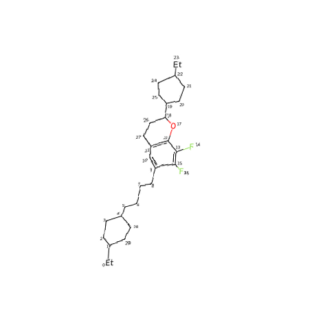 CCC1CCC(CCCCc2cc3c(c(F)c2F)OC(C2CCC(CC)CC2)CC3)CC1